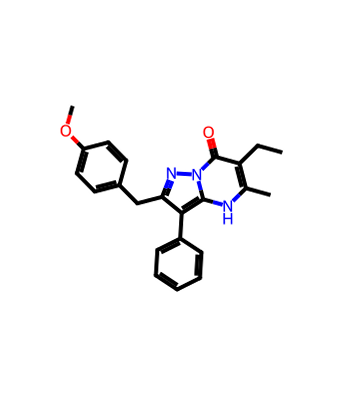 CCc1c(C)[nH]c2c(-c3ccccc3)c(Cc3ccc(OC)cc3)nn2c1=O